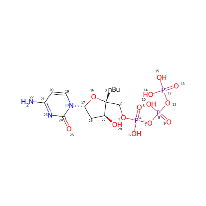 CCCC[C@]1(COP(=O)(O)OP(=O)(O)OP(=O)(O)O)O[C@@H](n2ccc(N)nc2=O)C[C@@H]1O